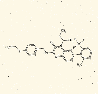 CCSc1ccc(CNc2nc3cnc(-c4c(C)ncnc4C(F)(F)F)nc3n(C(C)CC)c2=O)nc1